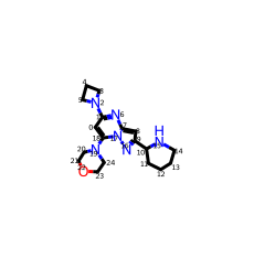 c1c(N2CCC2)nc2cc(C3CCCCN3)nn2c1N1CCOCC1